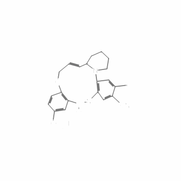 N#Cc1cc2c(cc1Cl)N1CCCCC1/C=C/COc1ccc(C(=O)O)cc1[S+]([O-])N2